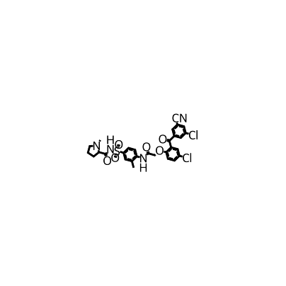 Cc1cc(S(=O)(=O)NC(=O)C2CCCN2C)ccc1NC(=O)COc1ccc(Cl)cc1C(=O)c1cc(Cl)cc(C#N)c1